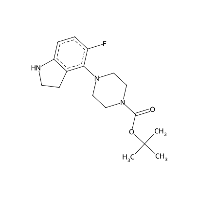 CC(C)(C)OC(=O)N1CCN(c2c(F)ccc3c2CCN3)CC1